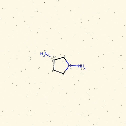 N[C@H]1CCN(N)C1